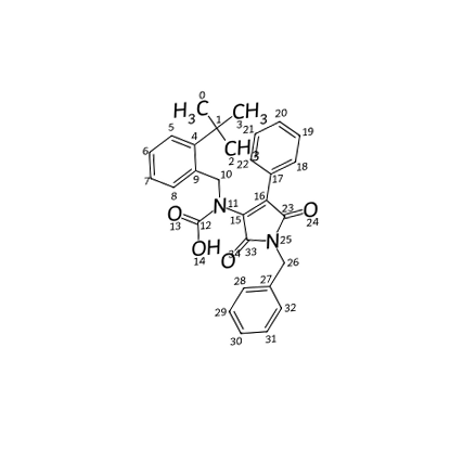 CC(C)(C)c1ccccc1CN(C(=O)O)C1=C(c2ccccc2)C(=O)N(Cc2ccccc2)C1=O